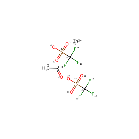 CC=O.O=S(=O)([O-])C(F)(F)F.O=S(=O)([O-])C(F)(F)F.[Zn+2]